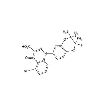 BC1(B)Oc2cc(-n3nc(C(=O)O)c(=O)c4c(C#N)cccc43)ccc2OC1(F)P